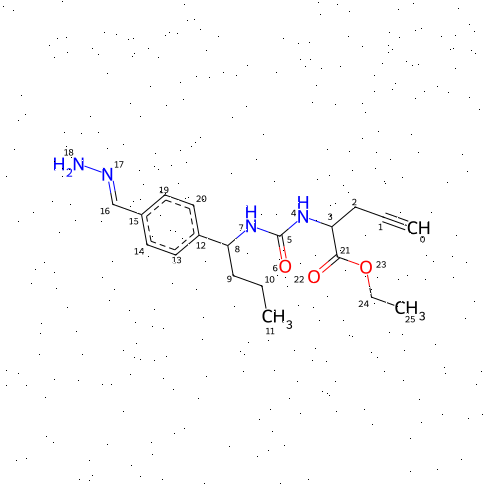 C#CCC(NC(=O)NC(CCC)c1ccc(C=NN)cc1)C(=O)OCC